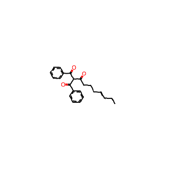 CCCCCCCC(=O)C(C(=O)c1ccccc1)C(=O)c1ccccc1